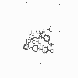 Cn1c(=O)n(CCC(C)(C)O)c2cc(Nc3nc(N4CCC(n5cccn5)CC4)ncc3Cl)ccc21